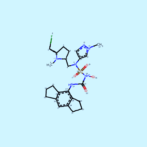 CN1C(CF)CCC1CN(c1cnn(C)c1)S(=O)(=O)[NH+]([O-])C(=O)Nc1c2c(cc3c1CCC3)CCC2